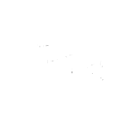 CCC[C@@]1(O)CC[C@@H]2C3CC[C@@]4(C)C(CCC4(O)C#N)[C@@H]3CC[C@@H]2C1